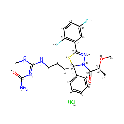 CNC(=NC(N)=O)NCCC[C@]1(c2ccccc2)SC(c2cc(F)ccc2F)=NN1C(=O)[C@H](C)OC.Cl